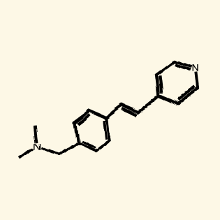 CN(C)Cc1ccc(C=Cc2ccncc2)cc1